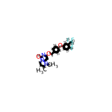 C[C@@H]1CCn2c(cc(OCc3ccc(Oc4ccc(F)c(C(F)(F)F)c4)cc3)nc2=O)N1C